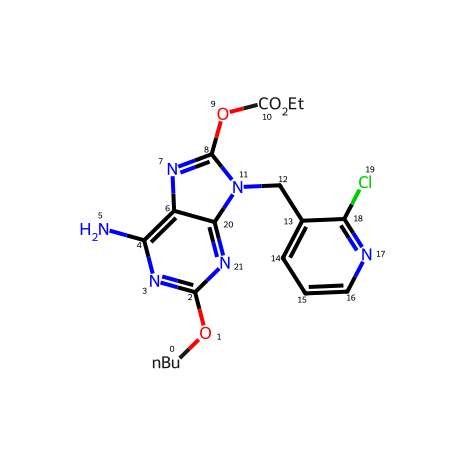 CCCCOc1nc(N)c2nc(OC(=O)OCC)n(Cc3cccnc3Cl)c2n1